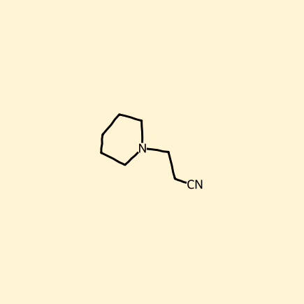 N#CCCN1CCCCC1